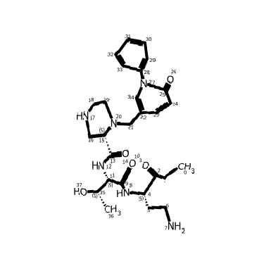 CCC(=O)[C@H](CCN)NC(=O)[C@@H](NC(=O)[C@@H]1CNCCN1Cc1ccc(=O)n(-c2ccccc2)c1)[C@H](C)O